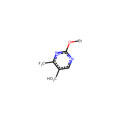 CCOc1ncc(C(=O)O)c(C(F)(F)F)n1